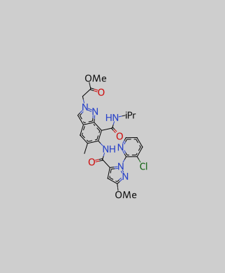 COC(=O)Cn1cc2cc(C)c(NC(=O)c3cc(OC)nn3-c3ncccc3Cl)c(C(=O)NC(C)C)c2n1